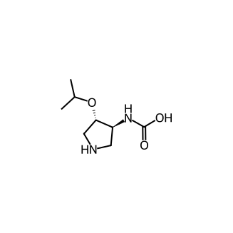 CC(C)O[C@H]1CNC[C@@H]1NC(=O)O